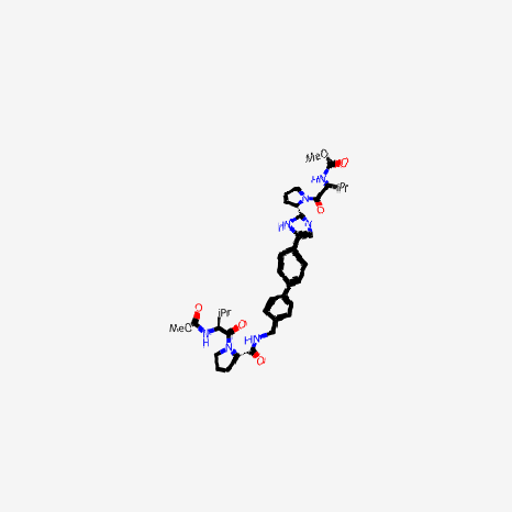 COC(=O)NC(C(=O)N1CCC[C@H]1c1ncc(-c2ccc(-c3ccc(CNC(=O)[C@@H]4CCCN4C(=O)[C@@H](NC(=O)OC)C(C)C)cc3)cc2)[nH]1)C(C)C